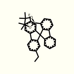 CCc1ccc2c(c1)C1(c3cc(F)ccc3-2)c2ccccc2-c2cccc(B3OC(C)(C)C(C)(C)O3)c21